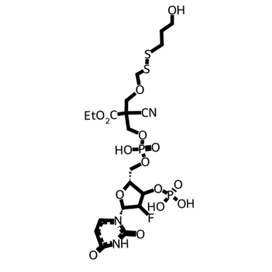 CCOC(=O)C(C#N)(COCSSCCCO)COP(=O)(O)OC[C@H]1O[C@@H](n2ccc(=O)[nH]c2=O)C(F)C1OP(=O)(O)O